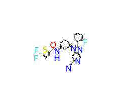 N#Cc1cc2c(cn1)nc(-c1ccccc1F)n2[C@@H]1CCC[C@H](NC(=O)c2ccc(C(F)F)s2)C1